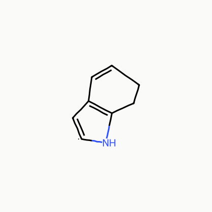 [c]1cc2c([nH]1)CCC=C2